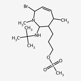 CC1C=CC(Br)N(C)C(NC(C)(C)C)C1CCCOS(C)(=O)=O